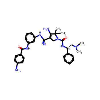 CN(C)C[C@@H](NC(=O)N1CC(C(=N)Nc2cccc(NC(=O)c3ccc(N)cc3)c2)=C(N)C1(C)C)c1ccccc1